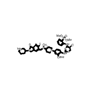 COc1cc(N2CCC(N(C)Cc3cc4c(cc3F)C(=O)N(C3CCCNC3)C4)CC2)ccc1Nc1ncc(Cl)c(Nc2ccccc2P(=O)(OC)OC)n1